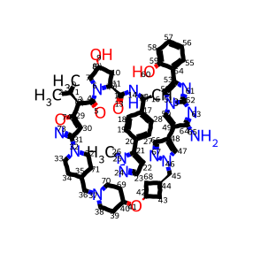 CC(C)[C@@H](C(=O)N1C[C@H](O)C[C@H]1C(=O)N[C@@H](C)c1ccc(-c2ccnn2C)cc1)c1cc(N2CCC(CN3CCC(O[C@H]4C[C@H](Cn5cc(-c6cn7cc(-c8ccccc8O)nc7nc6N)cn5)C4)CC3)CC2)no1